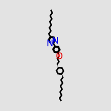 CCCCCCCCCc1cnc(-c2ccc(OCCC[C@H]3CC[C@H](CCCCCCCCC)CC3)cc2)nc1